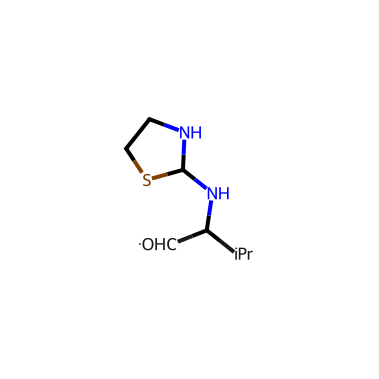 CC(C)C([C]=O)NC1NCCS1